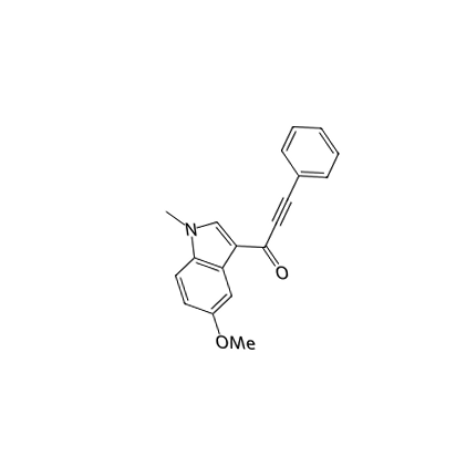 COc1ccc2c(c1)c(C(=O)C#Cc1ccccc1)cn2C